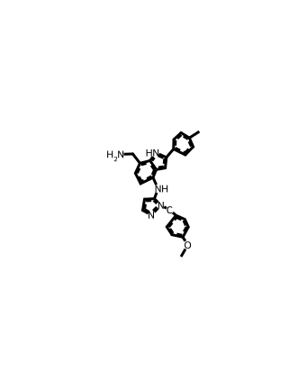 COc1ccc(Cn2nccc2Nc2ccc(CN)c3[nH]c(-c4ccc(C)cc4)cc23)cc1